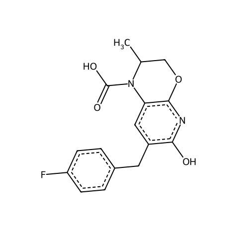 CC1COc2nc(O)c(Cc3ccc(F)cc3)cc2N1C(=O)O